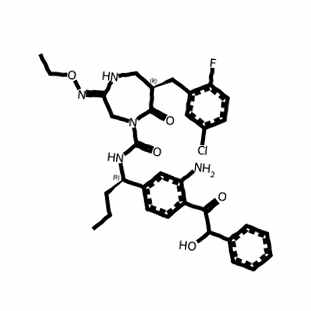 CCC[C@@H](NC(=O)N1CC(=NOCC)NC[C@@H](Cc2cc(Cl)ccc2F)C1=O)c1ccc(C(=O)C(O)c2ccccc2)c(N)c1